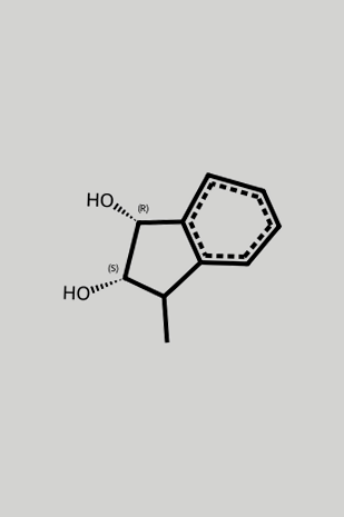 CC1c2ccccc2[C@@H](O)[C@H]1O